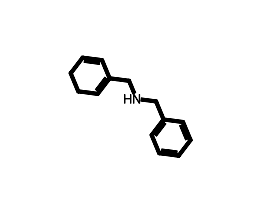 C1=CC(CNCc2ccccc2)=CCC1